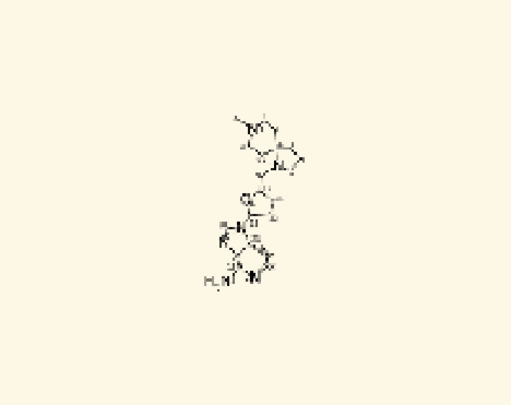 CN1CCC2(CCCN2CC2CCC(n3cnc4c(N)ncnc43)O2)CC1